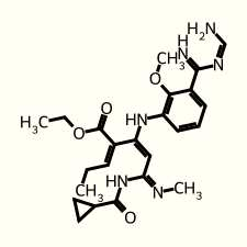 CC/C=C(C(=O)OCC)/C(=C\C(=N/C)NC(=O)C1CC1)Nc1cccc(C(=N)/N=C\N)c1OC